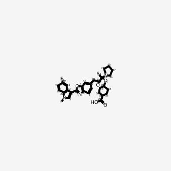 Cn1cc(-c2nc3ccc(CC(=O)C(F)(OC4CCC(C(=O)O)CC4)N4CCCC4)cc3o2)c2cc(F)ccc21